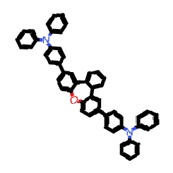 c1ccc(N(c2ccccc2)c2ccc(-c3ccc4c(c3)-c3ccccc3-c3cc(-c5ccc(N(c6ccccc6)c6ccccc6)cc5)ccc3O4)cc2)cc1